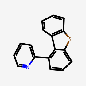 [c]1cccc2sc3cccc(-c4ccccn4)c3c12